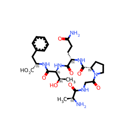 C[C@H](N)C(=O)NCC(=O)N1CCC[C@H]1C(=O)N[C@@H](CCC(N)=O)C(=O)N[C@H](C(=O)N[C@@H](Cc1ccccc1)C(=O)O)[C@@H](C)O